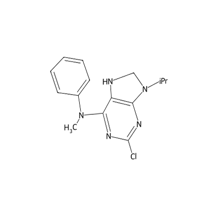 CC(C)N1CNc2c(N(C)c3ccccc3)nc(Cl)nc21